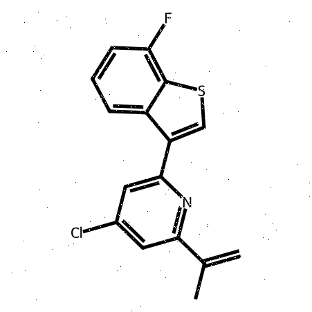 C=C(C)c1cc(Cl)cc(-c2csc3c(F)cccc23)n1